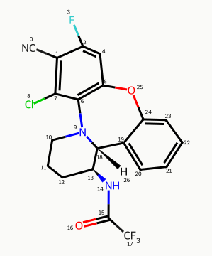 N#Cc1c(F)cc2c(c1Cl)N1CCC[C@H](NC(=O)C(F)(F)F)[C@H]1c1ccccc1O2